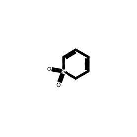 O=S1(=O)C=C[C]=CC1